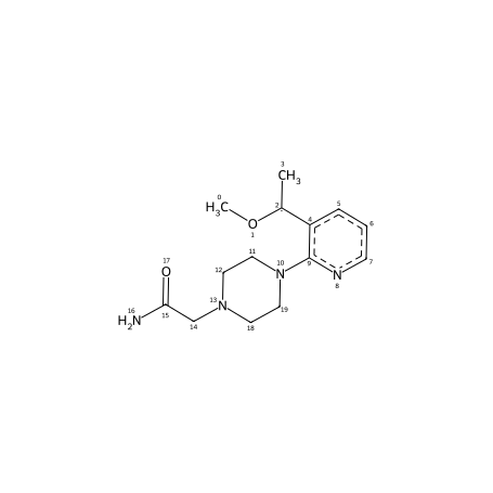 CO[C](C)c1cccnc1N1CCN(CC(N)=O)CC1